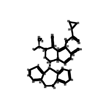 C[C@@H](N1CN([C@H]2c3ccccc3CSc3ccccc32)n2ccc(=O)c(OC(=O)C3CC3)c2C1=O)C(F)(F)F